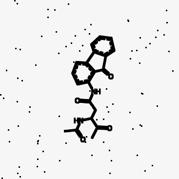 CC(=O)NC(CC(=O)Nc1cccc2c1C(=O)c1ccccc1-2)C(C)=O